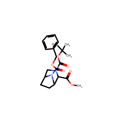 COC(=O)C1C2CCC(CN1C(=O)OC(C)(C)C)N2C(=O)OCc1ccccc1